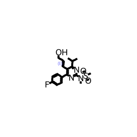 CC(C)c1nc(N(C)S(C)(=O)=O)nc(-c2ccc(F)cc2)c1/C=C/CO